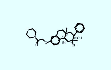 CC[C@@]12C[C@@](C)(O)[C@](O)(c3ccccc3)C[C@H]1CCc1cc(OCC(=O)N3CCOCC3)ccc12